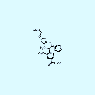 COCO[C@H]1CCN(C[C@H](c2ccccc2)N(C)c2ccc(C(=O)OC)cc2OC)C1